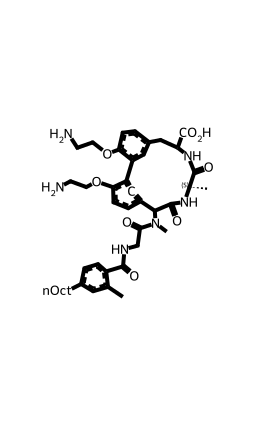 CCCCCCCCc1ccc(C(=O)NCC(=O)N(C)C2C(=O)N[C@@H](C)C(=O)NC(C(=O)O)Cc3ccc(OCCN)c(c3)-c3cc2ccc3OCCN)c(C)c1